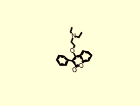 CCN(CC)CCOc1c(-c2ccccc2)c(=O)oc2ccccc12